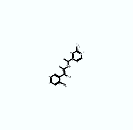 CC(=O)/C(=C(/C)NC(C)c1ccnc(C(F)(F)F)c1)c1ccccc1Br